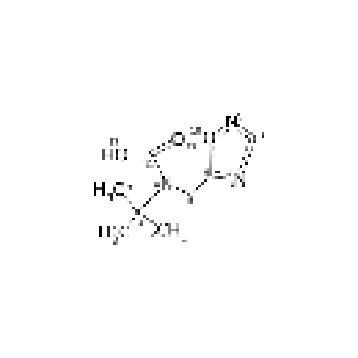 CC(C)(C)N(Cc1ncno1)C(=O)O